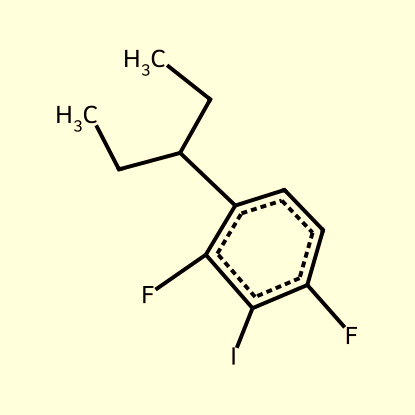 CCC(CC)c1ccc(F)c(I)c1F